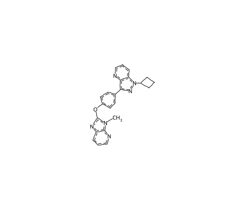 Cn1c(Oc2ccc(-c3nn(C4CCC4)c4cccnc34)cc2)nc2cccnc21